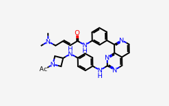 CC(=O)N1CC(Nc2ccc(Nc3ncc4ccnc(-c5cccc(NC(=O)/C=C/CN(C)C)c5)c4n3)cc2)C1